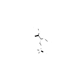 CNC(=O)[C@H](COP(=O)(O)O)NC